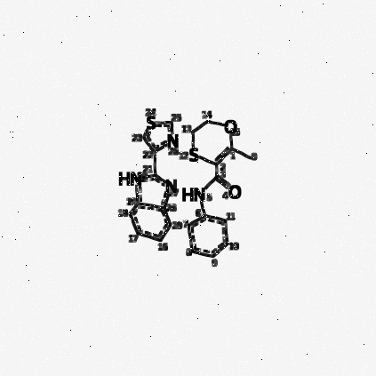 CC1=C(C(=O)Nc2ccccc2)SCCO1.c1ccc2[nH]c(-c3cscn3)nc2c1